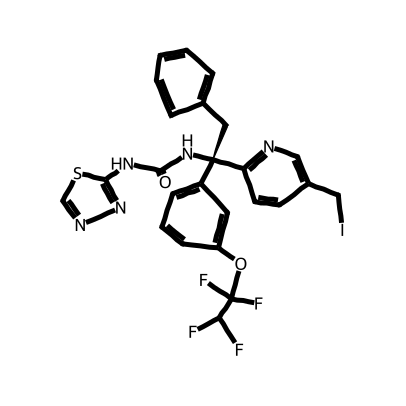 O=C(Nc1nncs1)N[C@@](Cc1ccccc1)(c1cccc(OC(F)(F)C(F)F)c1)c1ccc(CI)cn1